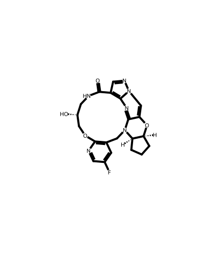 O=C1NC[C@@H](O)COc2ncc(F)cc2CN2c3nc4c1cnn4cc3O[C@H]1CCC[C@H]12